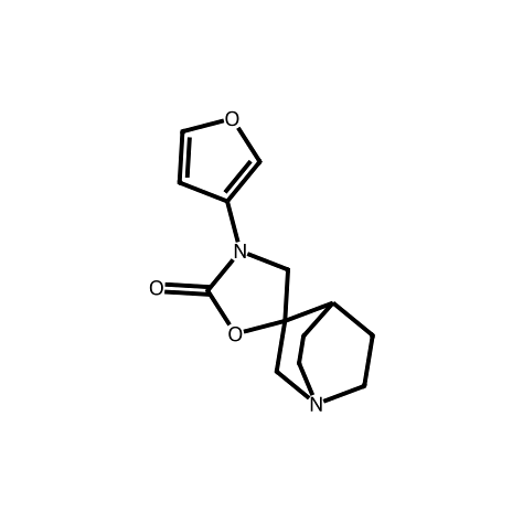 O=C1OC2(CN3CCC2CC3)CN1c1ccoc1